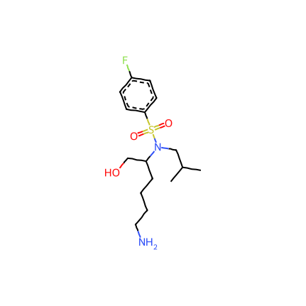 CC(C)CN(C(CO)CCCCN)S(=O)(=O)c1ccc(F)cc1